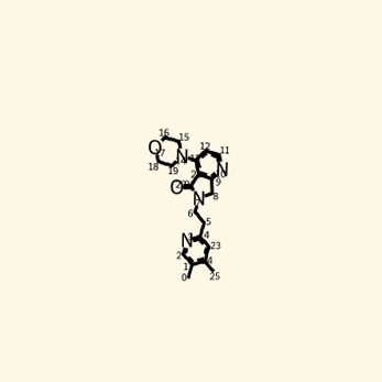 Cc1cnc(CCN2Cc3nccc(N4CCOCC4)c3C2=O)cc1C